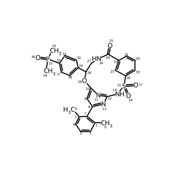 Cc1cccc(C)c1-c1cc2nc(n1)NS(=O)(=O)c1cccc(c1)C(=O)NCC(c1ccc(P(C)(C)=O)cc1)O2